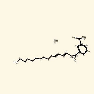 CCCCCCCCCC/C=C/C=C/C1OC1c1cccc(C(=O)O)c1.[LiH]